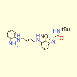 CN(CC(=O)NC(C)(C)C)c1cccc(NC/C=C/CNc2ccccc2N)c1[N+](=O)[O-]